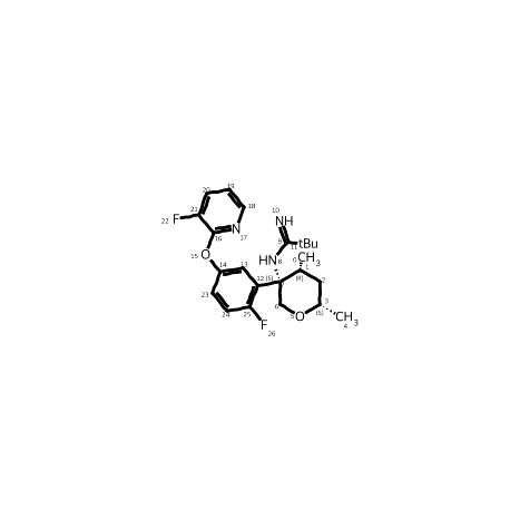 C[C@@H]1C[C@H](C)OC[C@@]1(NC(=N)C(C)(C)C)c1cc(Oc2ncccc2F)ccc1F